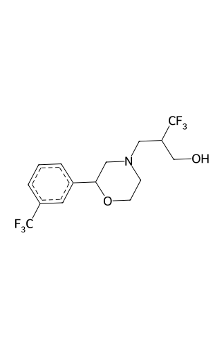 OCC(CN1CCOC(c2cccc(C(F)(F)F)c2)C1)C(F)(F)F